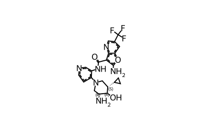 Nc1oc2cc(C(F)(F)F)cnc2c1C(=O)Nc1cnccc1N1C[C@@H](N)[C@H](O)[C@@H](C2CC2)C1